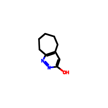 Oc1cc2c(nn1)CCCCC2